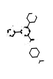 Cn1cncc1-c1nc(C(=O)N[C@H]2CC[C@H](C(F)F)CC2)cc(C2CCOCC2)n1